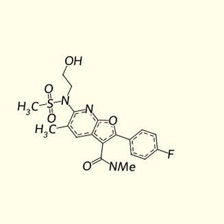 CNC(=O)c1c(-c2ccc(F)cc2)oc2nc(N(CCO)S(C)(=O)=O)c(C)cc12